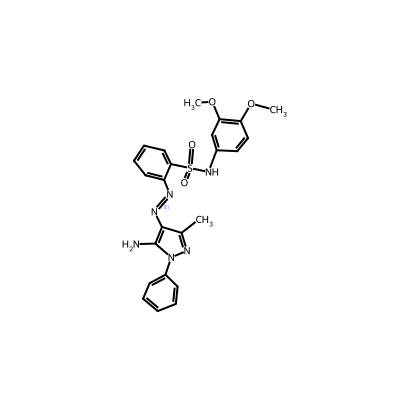 COc1ccc(NS(=O)(=O)c2ccccc2/N=N/c2c(C)nn(-c3ccccc3)c2N)cc1OC